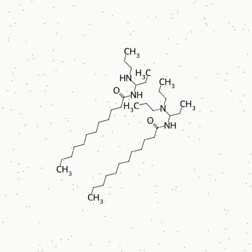 CCCCCCCCCCCC(=O)NC(CC)N(CCC)CCC.CCCCCCCCCCCC(=O)NC(CC)NCCC